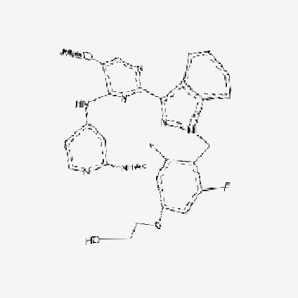 COc1cnc(-c2nn(Cc3c(F)cc(OCCO)cc3F)c3ccccc23)nc1Nc1ccnc(NC(C)=O)c1